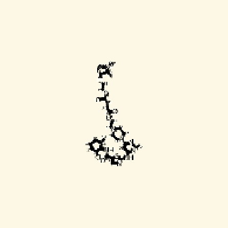 Cc1nc(Nc2ncc(C(=O)Nc3c(C)cccc3Cl)s2)cc(N2CCN(CCOC(=O)CCC(=O)OCCOc3no[n+]([O-])c3C)CC2)n1